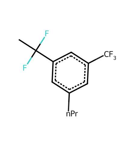 CCCc1cc(C(C)(F)F)cc(C(F)(F)F)c1